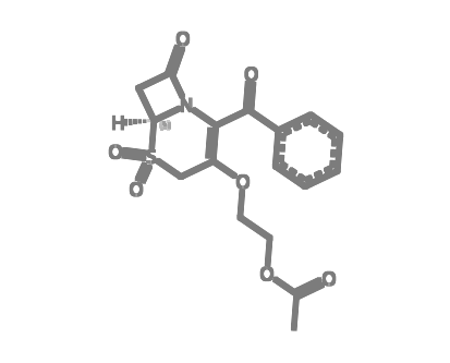 CC(=O)OCCOC1=C(C(=O)c2ccccc2)N2C(=O)C[C@@H]2S(=O)(=O)C1